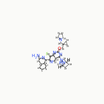 Nc1cc2ccccc2c(-c2ncc3c(N4C[C@H]5CC[C@@H](C4)N5)nc(OCC4(CN5CCCC5)CC4)nc3c2F)n1